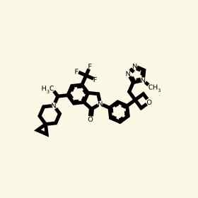 CC(c1cc2c(c(C(F)(F)F)c1)CN(c1cccc(C3(Cc4nncn4C)COC3)c1)C2=O)N1CCC2(CC1)CC2